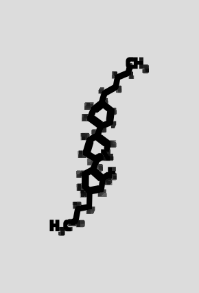 CCCCCc1ccc(-c2ccc(-c3ccc(CCCC)cc3F)nc2)cc1